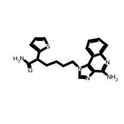 NC(=O)C(CCCCn1cnc2c(N)nc3ccccc3c21)c1cccs1